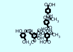 COc1cc(C(=O)O)cc(OC)c1O.COc1cc(C(=O)O)ccc1O.COc1cc(C=O)cc(OC)c1O.COc1cc(C=O)ccc1O.O=C(O)c1ccc(O)cc1